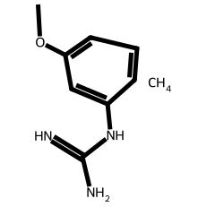 C.COc1cccc(NC(=N)N)c1